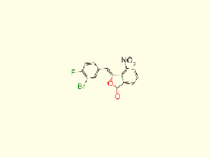 O=C1OC(=Cc2ccc(F)c(Br)c2)c2c1cccc2[N+](=O)[O-]